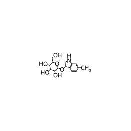 Cc1ccc2c(O[C@@H]3OC(CO)[C@@H](O)[C@H](O)C3O)c[nH]c2c1